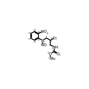 CCC(CNC(=O)OC(C)(C)C)CN(N=O)c1ccccc1[N+](=O)[O-]